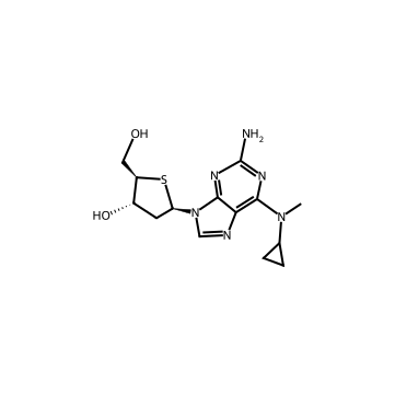 CN(c1nc(N)nc2c1ncn2[C@H]1C[C@H](O)[C@@H](CO)S1)C1CC1